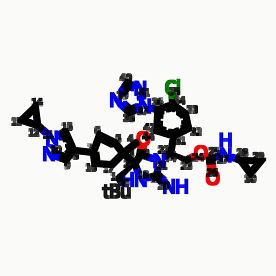 CC(C)(C)C[C@]1(C2(C)C=CC(c3cnn(C4CC4)c3)=CC2)NC(=N)N([C@H](COC(=O)NC2CC2)c2ccc(Cl)c(-n3cncn3)c2)C1=O